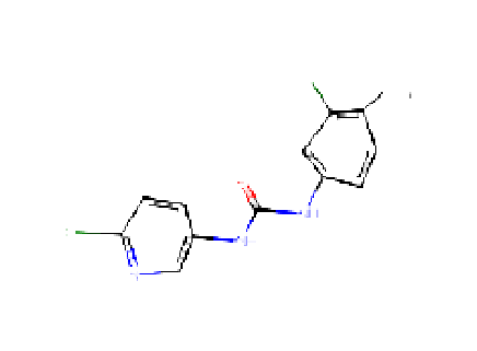 Cc1ccc(NC(=O)Nc2ccc(Cl)nc2)cc1F